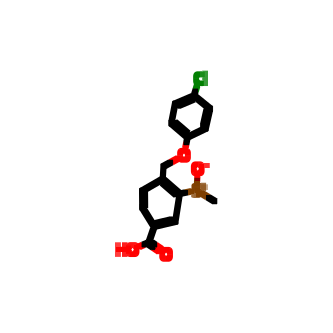 C[S+]([O-])c1cc(C(=O)O)ccc1COc1ccc(Cl)cc1